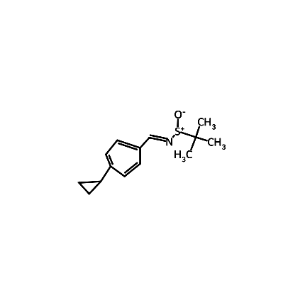 CC(C)(C)[S+]([O-])N=Cc1ccc(C2CC2)cc1